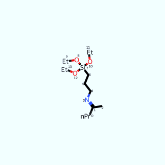 CCCC(C)=NCCC[Si](OCC)(OCC)OCC